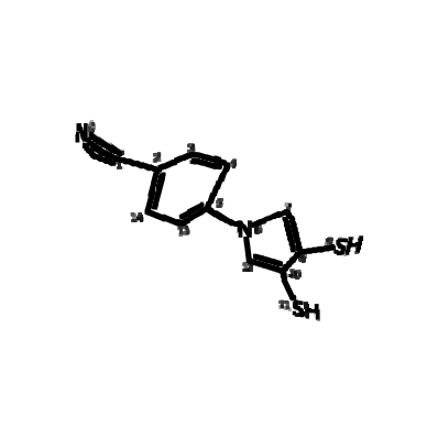 N#Cc1ccc(-n2cc(S)c(S)c2)cc1